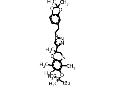 Cc1c(C)c2c(c(C)c1O[Si](C)(C)C(C)(C)C)SCC(C)(c1cn(CCc3ccc4c(c3)OC(C)(C)O4)nn1)O2